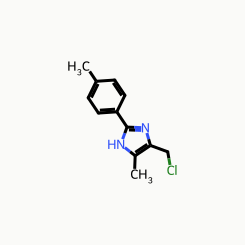 Cc1ccc(-c2nc(CCl)c(C)[nH]2)cc1